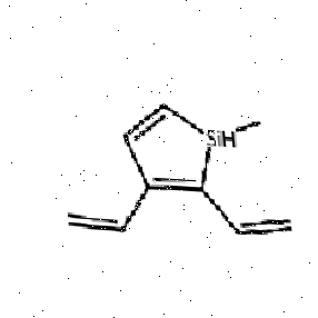 C=CC1=C(C=C)[SiH](C)C=C1